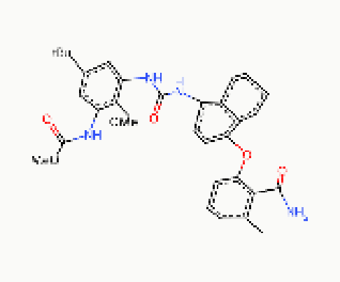 COC(=O)Nc1cc(C(C)(C)C)cc(NC(=O)Nc2ccc(Oc3cccc(C)c3C(N)=O)c3ccccc23)c1OC